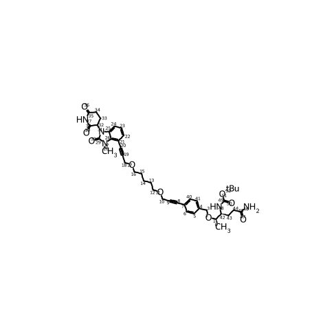 C[C@@H](OCc1ccc(C#CCOCCCCCOCC#Cc2cccc3c2n(C)c(=O)n3C2CCC(=O)NC2=O)cc1)[C@H](CCC(N)=O)NC(=O)OC(C)(C)C